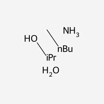 CC(C)O.CCCCC.N.O